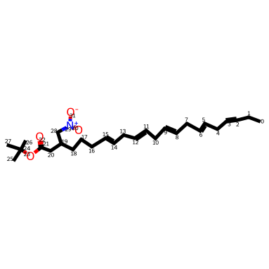 CC/C=C/C/C=C/C/C=C/C/C=C/C/C=C/CCCC(CC(=O)OC(C)(C)C)C[N+](=O)[O-]